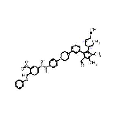 C#CC/C=C\C(=C/C)c1c(-c2cccc(N3CCN(c4ccc(N[S+]([O-])C5C=C([N+](=O)[O-])C(NSc6ccccc6)CC5)cc4)CC3)c2)c(C=O)c(C)n1C